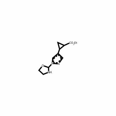 CCOC(=O)C1CC1c1cnn(C2NCCO2)c1